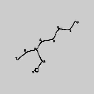 CCCCCC(CC)C[O]